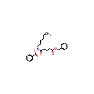 CCCCCCN(OC(=O)c1ccccc1)C(=O)CCCC(=O)OCc1ccccc1